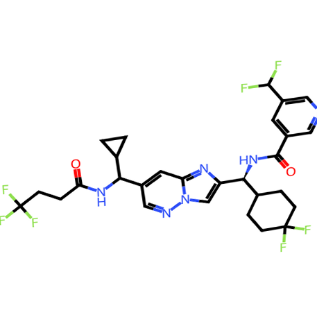 O=C(CCC(F)(F)F)NC(c1cnn2cc([C@@H](NC(=O)c3cncc(C(F)F)c3)C3CCC(F)(F)CC3)nc2c1)C1CC1